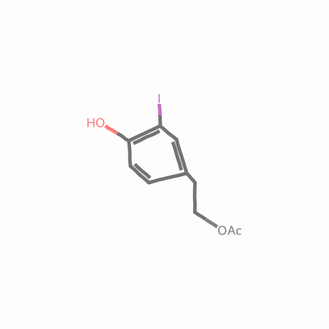 CC(=O)OCCc1ccc(O)c(I)c1